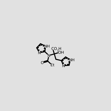 CCC(=O)N(c1ncc[nH]1)C(O)(Cc1c[nH]cn1)C(=O)O